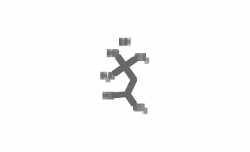 CC(O)CC(C)(C)O.[LiH]